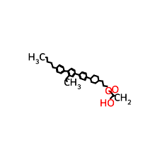 C=C(CO)C(=O)OCCCC1CCC(c2ccc(-c3ccc(-c4ccc(CCCCC)cc4)c(CC)c3)cc2)CC1